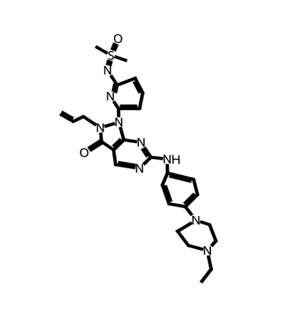 C=CCn1c(=O)c2cnc(Nc3ccc(N4CCN(CC)CC4)cc3)nc2n1-c1cccc(N=S(C)(C)=O)n1